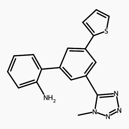 Cn1nnnc1-c1cc(-c2cccs2)cc(-c2ccccc2N)c1